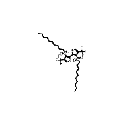 CCCCCCCCCCS(=O)(=O)c1c(C(F)(F)F)csc1-c1scc(C(F)(F)F)c1S(=O)(=O)CCCCCCCCCC